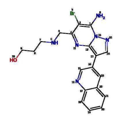 Nc1c(Br)c(CNCCCO)nc2c(-c3cnc4ccccc4c3)cnn12